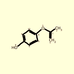 C=C(C)Oc1ccc(O)cc1